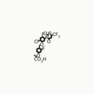 CC(Oc1ccc(COc2cc(-n3c(=O)cc(C(F)(F)F)n(C)c3=O)c(F)cc2Cl)c(F)c1)C(=O)O